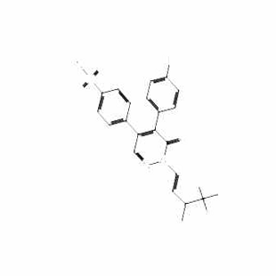 CC(/C=C/n1ncc(-c2ccc(S(N)(=O)=O)cc2)c(-c2ccc(F)cc2)c1=O)C(F)(F)F